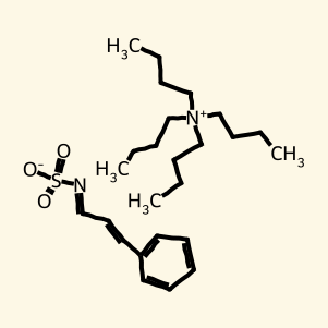 CCCC[N+](CCCC)(CCCC)CCCC.O=S(=O)([O-])N=CC=Cc1ccccc1